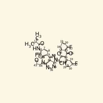 CC(C)C(=O)Nc1ccc(-c2nn(C(C)c3oc4cccc(F)c4c(=O)c3-c3cccc(F)c3)c3ncnc(N4CCOCC4)c23)cc1F